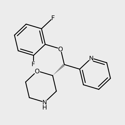 Fc1cccc(F)c1OC(c1ccccn1)[C@@H]1CNCCO1